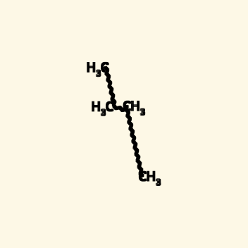 CCCCCCCCCCCCCCCCCCCCCC(C)CCCC(C)CCCCCCCCCCCC